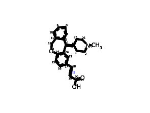 CN1CCC(=C2c3ccccc3COc3ccc(/C=C/C(=O)O)cc32)CC1